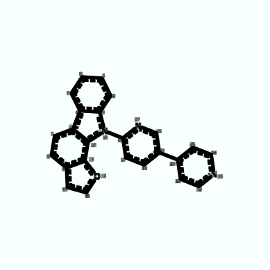 c1ccc2c(c1)c1ccc3ccoc3c1n2-c1ccc(-c2ccncc2)cn1